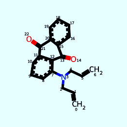 C=CCN(CC=C)c1cccc2c1C(=O)c1ccccc1C2=O